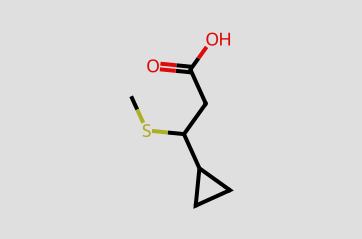 CSC(CC(=O)O)C1CC1